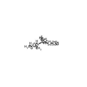 CNC(=O)c1ccc(NCC#Cc2cc3c(NC4CCC(N5CCC6(CCOC6)CC5)CC4)cccc3n2CC(F)(F)F)c(OC)c1